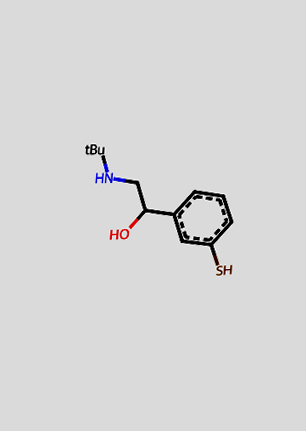 CC(C)(C)NCC(O)c1cccc(S)c1